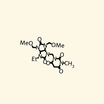 CCN1C(=O)N(CN2C(=O)CC(=O)N(C)C2=O)C2C1N(COC)C(=O)N2COC